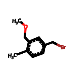 COCc1cc(CBr)ccc1C